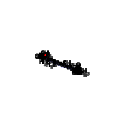 CC(/C=C/C=C(C)/C=C/C(=O)[C@]1(C)CC(=O)CC1(C)C)=C\C=C\C=C(C)\C=C\C=C(C)\C=C\C(=O)[C@]1(C)CC(=O)CC1(C)C